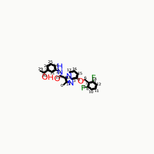 Cc1nc2c(OCc3c(F)cccc3F)cccn2c1C(=O)Nc1cccc(C(C)O)c1